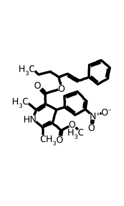 CCCC(/C=C/c1ccccc1)OC(=O)C1=C(C)NC(C)=C(C(=O)OC)C1c1cccc([N+](=O)[O-])c1